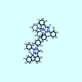 Cc1cc(C2CCC(C3(C4CCCCC4)c4ccccc4C4[C@H](C)N(c5ccccc5C)C(c5ccccc5)N43)CC2)ccc1N1C(c2ccccc2)N2C(c3ccccc3C2(C)c2ccccc2)[C@@H]1C